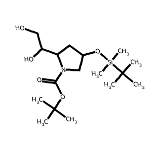 CC(C)(C)OC(=O)N1CC(O[Si](C)(C)C(C)(C)C)CC1C(O)CO